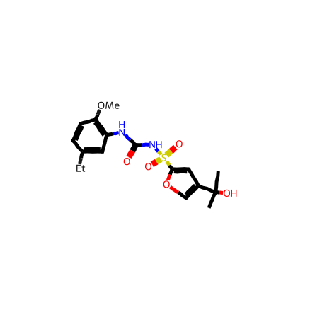 CCc1ccc(OC)c(NC(=O)NS(=O)(=O)c2cc(C(C)(C)O)co2)c1